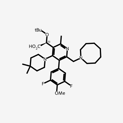 COc1c(F)cc(-c2c(CN3CCCCCCC3)nc(C)c([C@H](OC(C)(C)C)C(=O)O)c2N2CCC(C)(C)CC2)cc1F